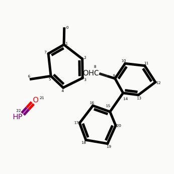 Cc1cccc(C)c1.O=Cc1ccccc1-c1ccccc1.O=P